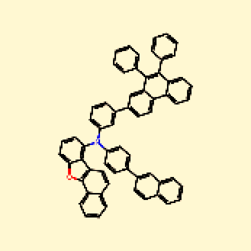 c1ccc(-c2c(-c3ccccc3)c3cc(-c4cccc(N(c5ccc(-c6ccc7ccccc7c6)cc5)c5cccc6oc7c8ccccc8ccc7c56)c4)ccc3c3ccccc23)cc1